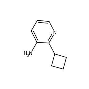 Nc1cccnc1C1CCC1